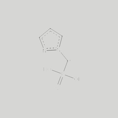 O=P(O)(O)Cn1cccn1